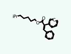 CC(C)CCCCCOC(=O)C(=Cc1ccccc1)c1ccccc1